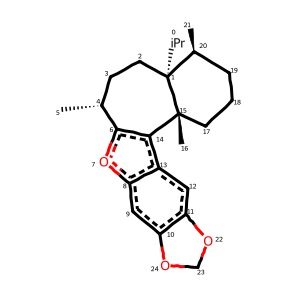 CC(C)[C@@]12CC[C@@H](C)c3oc4cc5c(cc4c3[C@@]1(C)CCC[C@@H]2C)OCO5